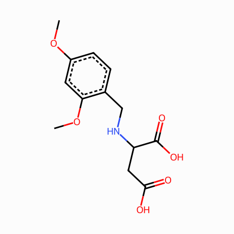 COc1ccc(CNC(CC(=O)O)C(=O)O)c(OC)c1